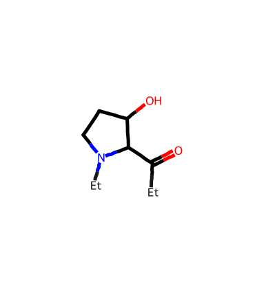 CCC(=O)C1C(O)CCN1CC